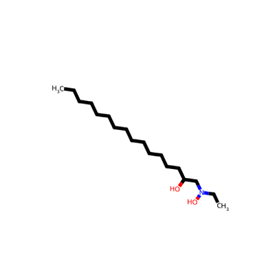 CCCCCCCCCCCCCCC(O)CN(O)CC